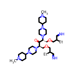 CCC(C=N)COC[C@H](C(=O)[C@@H](COCC(C=N)CC)N1CCN(C2CCN(C)CC2)CC1)N1CCN(C2CCN(C)CC2)CC1